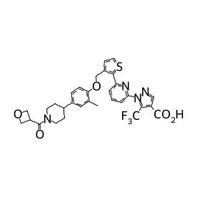 Cc1cc(C2CCN(C(=O)C3COC3)CC2)ccc1OCc1ccsc1-c1cccc(-n2ncc(C(=O)O)c2C(F)(F)F)n1